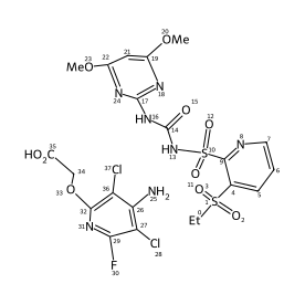 CCS(=O)(=O)c1cccnc1S(=O)(=O)NC(=O)Nc1nc(OC)cc(OC)n1.Nc1c(Cl)c(F)nc(OCC(=O)O)c1Cl